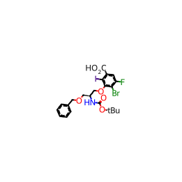 CC(C)(C)OC(=O)N[C@@H](COCc1ccccc1)COc1c(Br)c(F)cc(C(=O)O)c1I